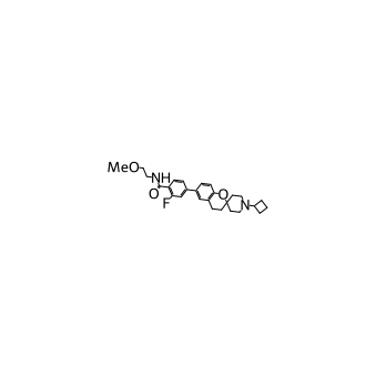 COCCNC(=O)c1ccc(-c2ccc3c(c2)CCC2(CCN(C4CCC4)CC2)O3)cc1F